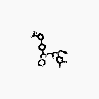 N#CCN(CC(=O)CNC(CN1CCOCC1)c1ccc(-c2cccc(C(N)=O)c2)cc1)c1ccc(Cl)c(Cl)c1